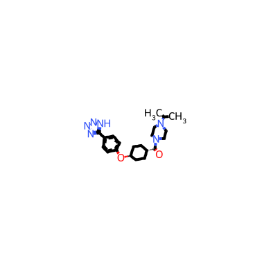 CC(C)N1CCN(C(=O)[C@H]2CC[C@H](Oc3ccc(-c4nnn[nH]4)cc3)CC2)CC1